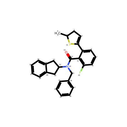 CC1CC=C(c2cccc(F)c2C(=O)N(Cc2ccccc2)C2Cc3ccccc3C2)S1